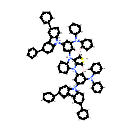 c1ccc(-c2ccc3c(c2)c2cc(-c4ccccc4)ccc2n3-c2cc3c4c(c2)N2c5ccccc5N5c6cc(-n7c8ccc(-c9ccccc9)cc8c8cc(-c9ccccc9)ccc87)cc7c6B(c6ccccc6N7c6ccccc6)c6sc(c2c65)B4c2ccccc2N3c2ccccc2)cc1